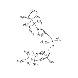 CC(C)C(C)(C)C(C)(C)OC(C)(C)CCOC(C)(C)Cc1cn(C(C)(C)C(C)(C)C(C)C)nn1